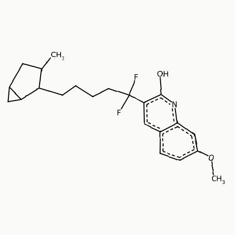 COc1ccc2cc(C(F)(F)CCCCC3C(C)CC4CC43)c(O)nc2c1